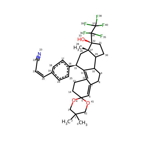 CC1(C)COC2(C=C3CCC4C(=C3CC2)[C@@H](c2ccc(/C=C\C#N)cc2)C[C@@]2(C)C4CC[C@@]2(O)C(F)(F)C(F)(F)F)OC1